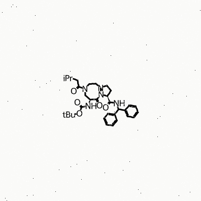 CC(C)CC(=O)N1CCN2CC[C@@H](C(=O)NC(c3ccccc3)c3ccccc3)N2C(=O)[C@@H](NC(=O)OC(C)(C)C)C1